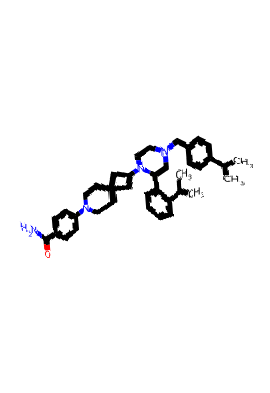 CC(C)c1ccc(CN2CCN(C3CC4(CCN(c5ccc(C(N)=O)cc5)CC4)C3)C(c3ccccc3C(C)C)C2)cc1